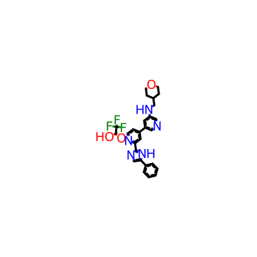 O=C(O)C(F)(F)F.c1ccc(-c2cnc(-c3cc(-c4cncc(NCC5CCOCC5)c4)ccn3)[nH]2)cc1